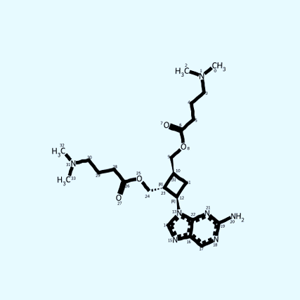 CN(C)CCCC(=O)OC[C@H]1C[C@@H](n2cnc3cnc(N)nc32)[C@@H]1COC(=O)CCCN(C)C